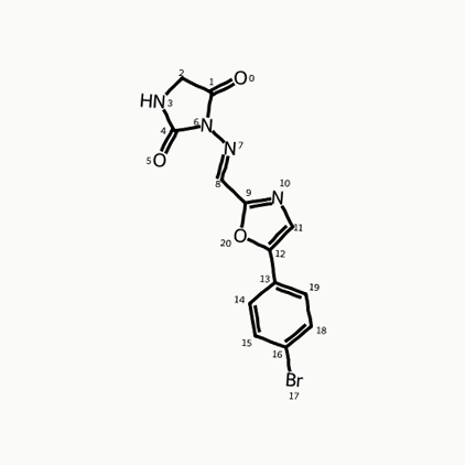 O=C1CNC(=O)N1N=Cc1ncc(-c2ccc(Br)cc2)o1